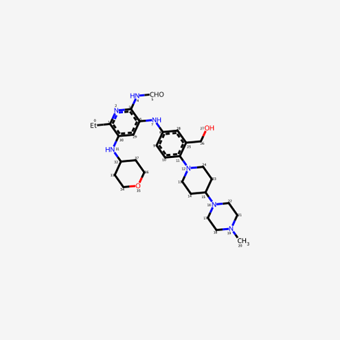 CCc1nc(NC=O)c(Nc2ccc(N3CCC(N4CCN(C)CC4)CC3)c(CO)c2)cc1NC1CCOCC1